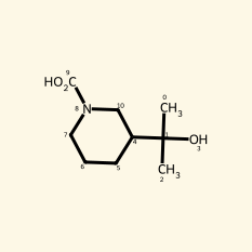 CC(C)(O)C1CCCN(C(=O)O)C1